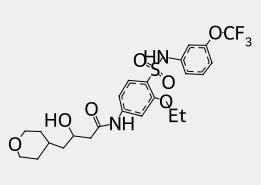 CCOc1cc(NC(=O)CC(O)CC2CCOCC2)ccc1S(=O)(=O)Nc1cccc(OC(F)(F)F)c1